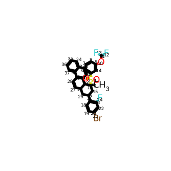 CC1(S(=O)(=O)c2cccc(OC(F)F)c2)CC(c2ccc(Br)cc2F)CC2C=Cc3c(ccc4ccccc34)C21